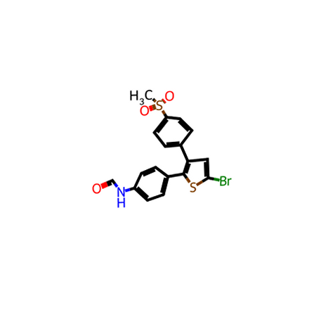 CS(=O)(=O)c1ccc(-c2cc(Br)sc2-c2ccc(NC=O)cc2)cc1